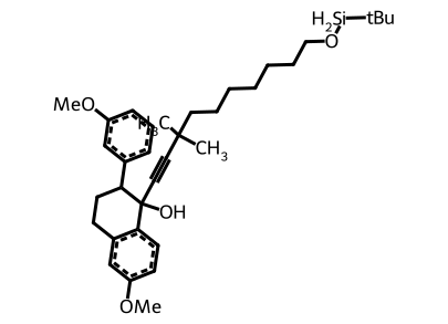 COc1cccc(C2CCc3cc(OC)ccc3C2(O)C#CC(C)(C)CCCCCCCO[SiH2]C(C)(C)C)c1